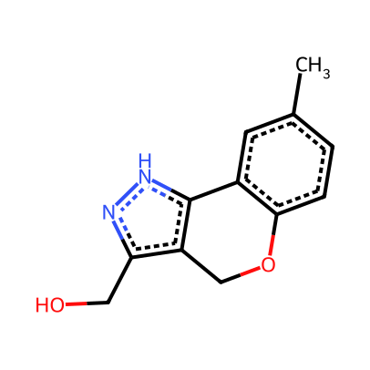 Cc1ccc2c(c1)-c1[nH]nc(CO)c1CO2